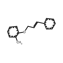 Cc1ccccc1OC/C=C/c1ccccc1